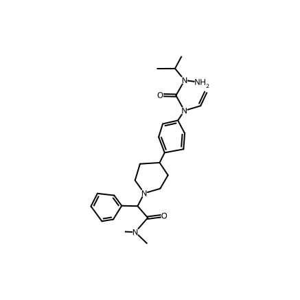 C=CN(C(=O)N(N)C(C)C)c1ccc(C2CCN(C(C(=O)N(C)C)c3ccccc3)CC2)cc1